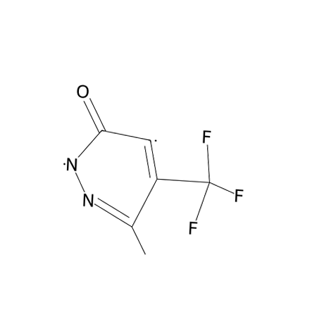 CC1=N[N]C(=O)[C]=C1C(F)(F)F